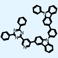 c1ccc(-c2nc(-c3ccccc3)nc(-c3cncc(-c4ccc5c(c4)c4ccccc4n5-c4cccc(-c5ccc6c(c5)c5ccccc5n6-c5ccccc5)c4)c3)n2)cc1